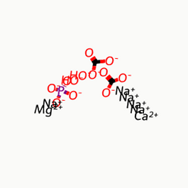 O=C([O-])[O-].O=C([O-])[O-].O=P([O-])([O-])[O-].[Ca+2].[Mg+2].[Na+].[Na+].[Na+].[Na+].[Na+].[OH-].[OH-]